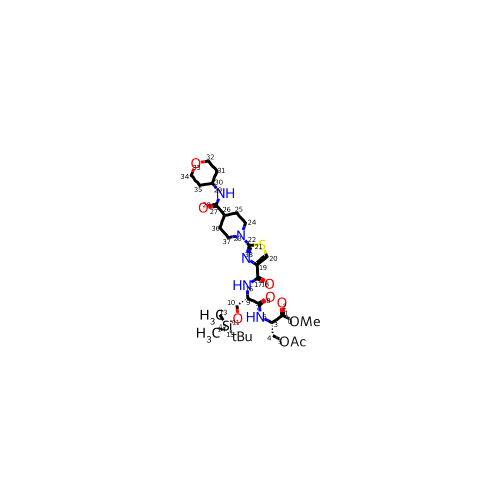 COC(=O)[C@H](COC(C)=O)NC(=O)[C@H](CO[Si](C)(C)C(C)(C)C)NC(=O)c1csc(N2CCC(C(=O)NC3CCOCC3)CC2)n1